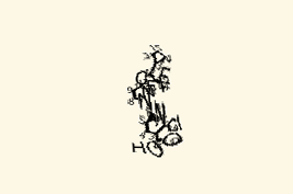 O=C(O)c1ccc(-n2ccc(OC(C3CCC3)C(F)(F)F)n2)nc1Cl